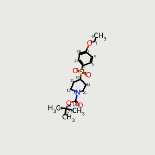 CCOc1ccc(S(=O)(=O)C2CCN(C(=O)OC(C)(C)C)CC2)cc1